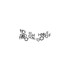 O=S(=O)(Nc1cccc([C@@H](O)CNCCOc2ccc3c(OC(F)F)n[nH]c3c2)c1)c1cccnc1